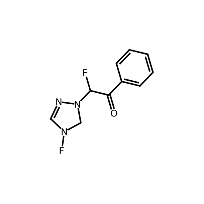 O=C(c1ccccc1)C(F)N1CN(F)C=N1